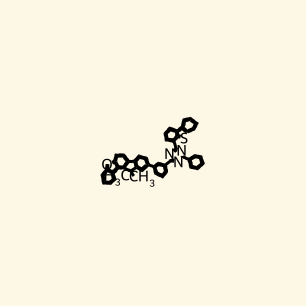 CC1(C)c2cc(-c3cccc(-c4nc(-c5ccccc5)nc(-c5cccc6c5sc5ccccc56)n4)c3)ccc2-c2ccc3oc4ccccc4c3c21